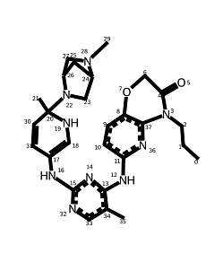 CCCN1C(=O)COc2ccc(Nc3nc(NC4=CNC(C)(N5CC6CC5CN6C)C=C4)ncc3C)nc21